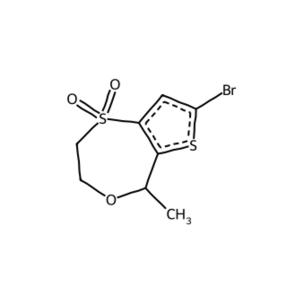 CC1OCCS(=O)(=O)c2cc(Br)sc21